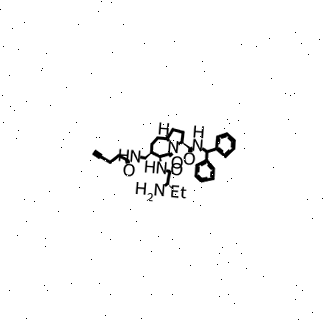 C#CCCC(=O)NC[C@H]1CC[C@H]2CC[C@@H](C(=O)NC(c3ccccc3)c3ccccc3)N2C(=O)[C@H]1NC(=O)[C@@H](N)CC